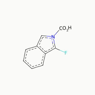 O=C(O)n1cc2ccccc2c1F